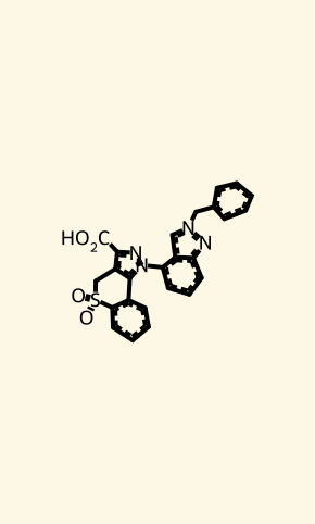 O=C(O)c1nn(-c2cccc3nn(Cc4ccccc4)cc23)c2c1CS(=O)(=O)c1ccccc1-2